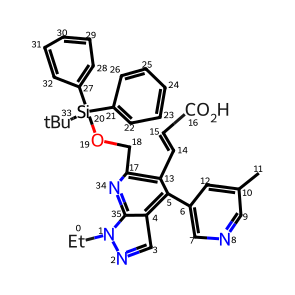 CCn1ncc2c(-c3cncc(C)c3)c(C=CC(=O)O)c(CO[Si](c3ccccc3)(c3ccccc3)C(C)(C)C)nc21